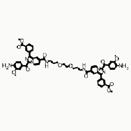 COC(=O)c1cccc(-c2nc(C(=O)c3ccc(N)c(OC)c3)n3ccc(C(=O)NCCCOCCOCCCNC(=O)c4ccn5c(C(=O)c6ccc(N)c(OC)c6)nc(-c6cccc(C(=O)OC)c6)c5c4)cc23)c1